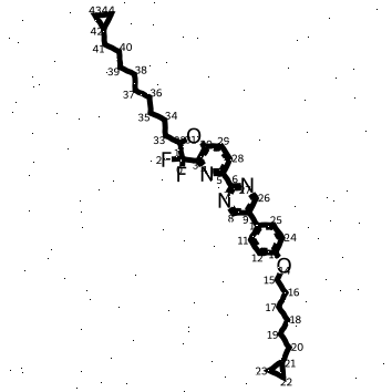 FC1(F)c2nc(-c3ncc(-c4ccc(OCCCCCCC5CC5)cc4)cn3)ccc2OC1CCCCCCCCCC1CC1